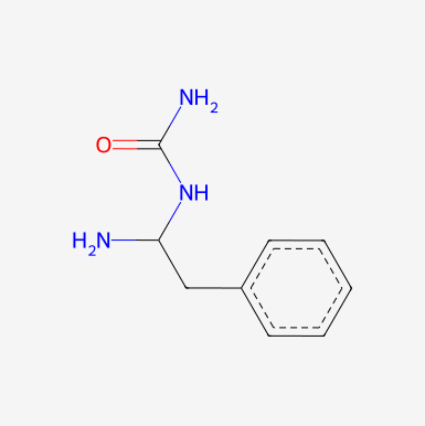 NC(=O)NC(N)Cc1ccccc1